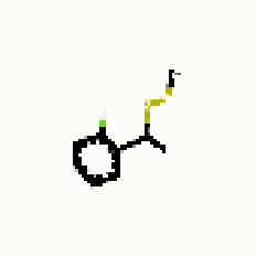 CCSSC(C)c1ccccc1F